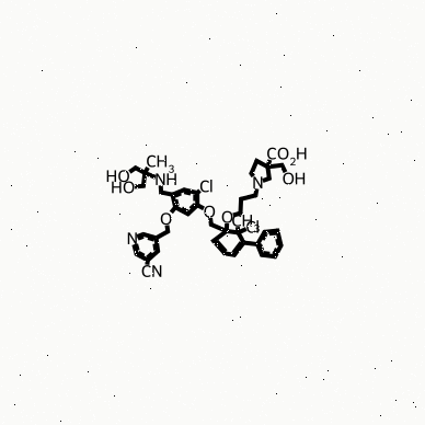 CC(CO)(CO)NCc1cc(Cl)c(OCC2(OCCCN3CCC(CO)(C(=O)O)C3)C=CC=C(c3ccccc3)C2(C)Cl)cc1OCc1cncc(C#N)c1